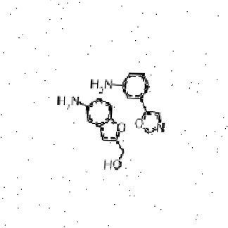 Nc1ccc2oc(CO)cc2c1.Nc1cccc(-c2cnco2)c1